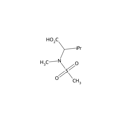 CC(C)C(C(=O)O)N(C)S(C)(=O)=O